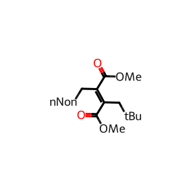 CCCCCCCCCCC(C(=O)OC)=C(CC(C)(C)C)C(=O)OC